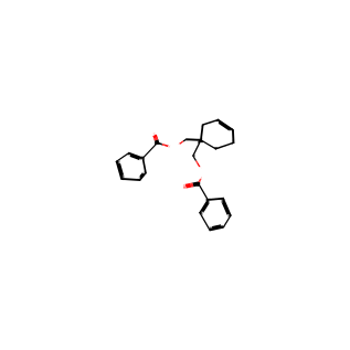 O=C(OCC1(COC(=O)c2ccccc2)CC=CCC1)c1ccccc1